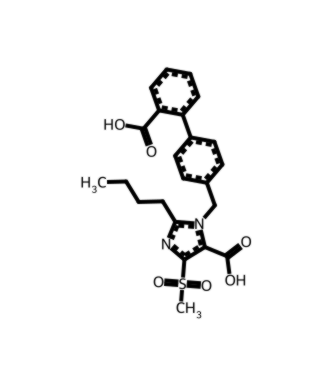 CCCCc1nc(S(C)(=O)=O)c(C(=O)O)n1Cc1ccc(-c2ccccc2C(=O)O)cc1